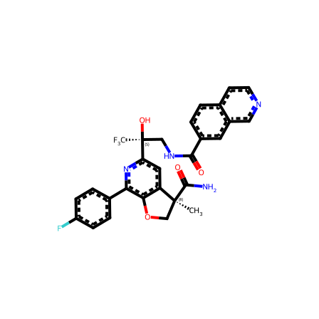 C[C@]1(C(N)=O)COc2c1cc([C@@](O)(CNC(=O)c1ccc3ccncc3c1)C(F)(F)F)nc2-c1ccc(F)cc1